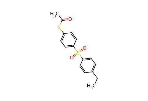 CCc1ccc(S(=O)(=O)c2ccc(SC(C)=O)cc2)cc1